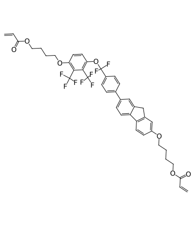 C=CC(=O)OCCCCOc1ccc2c(c1)Cc1cc(-c3ccc(C(F)(F)Oc4ccc(OCCCCOC(=O)C=C)c(C(F)(F)F)c4C(F)(F)F)cc3)ccc1-2